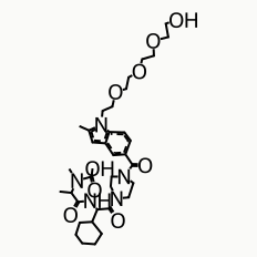 Cc1cc2cc(C(=O)N3CCN(C(=O)C(NC(=O)C(C)N(C)C(=O)O)C4CCCCC4)CC3)ccc2n1CCOCCOCCOCCO